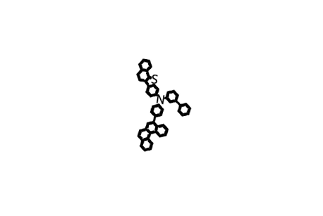 c1ccc(-c2cccc(N(c3ccc(-c4cc5ccc6ccccc6c5c5ccccc45)cc3)c3ccc4c(c3)sc3c5ccccc5ccc43)c2)cc1